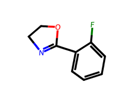 Fc1ccccc1C1=NCCO1